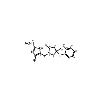 CC(=O)Nc1nc(F)c(CN2CC(C)(Oc3cccnc3C)CC2C)s1